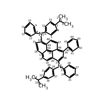 CC(C)c1ccc(N(c2ccccc2)c2ccc3ccc4c(N(c5ccccc5)c5ccc(C(C)C)cc5)cc(-c5ccccc5)c5ccc2c3c54)cc1